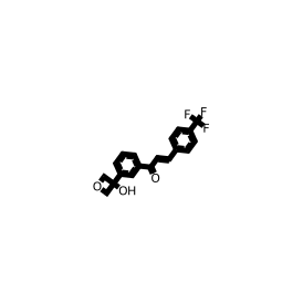 O=C(C=Cc1ccc(C(F)(F)F)cc1)c1cccc(C2(O)COC2)c1